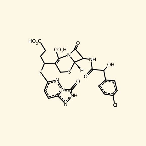 O=C(O)CCC(Sc1ccc2n[nH]c(=O)n2n1)C1=C(C(=O)O)N2C(=O)C(NC(=O)C(O)c3ccc(Cl)cc3)[C@@H]2SC1